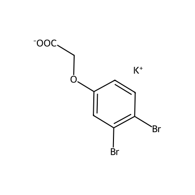 O=C([O-])COc1ccc(Br)c(Br)c1.[K+]